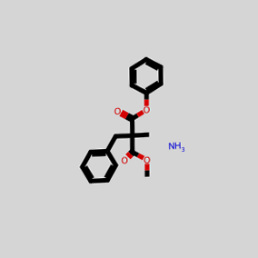 COC(=O)C(C)(Cc1ccccc1)C(=O)Oc1ccccc1.N